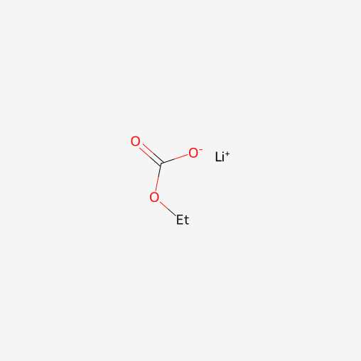 CCOC(=O)[O-].[Li+]